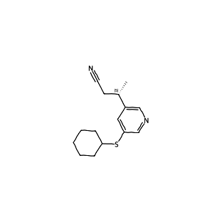 C[C@@H](CC#N)c1cncc(SC2CCCCC2)c1